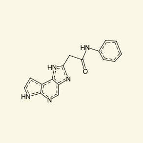 O=C(Cc1nc2cnc3[nH]ccc3c2[nH]1)Nc1ccccc1